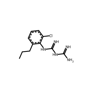 CCCc1cccc(Cl)c1NC(=N)NC(=N)N